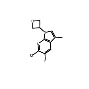 Cc1cn(C2COC2)c2nc(Cl)c(F)cc12